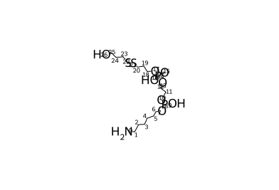 NCCCCCCOP(O)OCCOP(=O)(O)OCCCSSCCCO